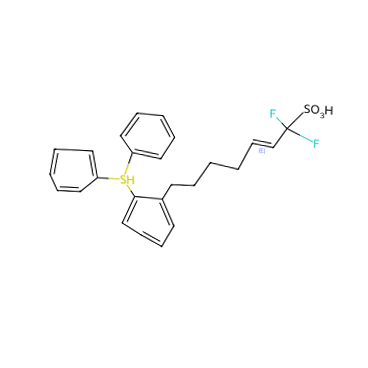 O=S(=O)(O)C(F)(F)/C=C/CCCCc1ccccc1[SH](c1ccccc1)c1ccccc1